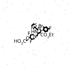 CCOC(=O)C1=C(CN2CC(F)C(OCC(=O)O)C(F)C2)NC(c2nccs2)=N[C@H]1c1ccc(F)cc1Br